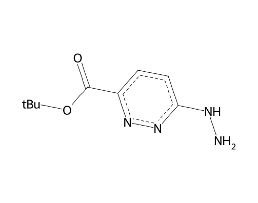 CC(C)(C)OC(=O)c1ccc(NN)nn1